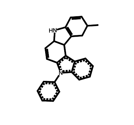 CC1C=CC2=C(C1)C1c3c(n(-c4ccccc4)c4ccccc34)C=CC1N2